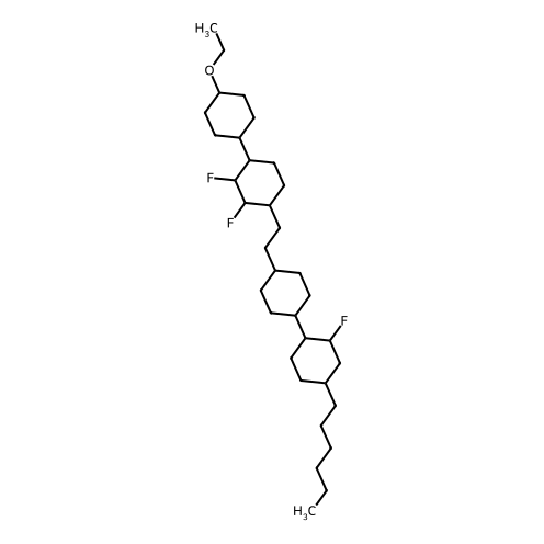 CCCCCCC1CCC(C2CCC(CCC3CCC(C4CCC(OCC)CC4)C(F)C3F)CC2)C(F)C1